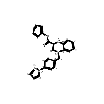 O=C(Nc1ccccc1)C1CN(Cc2ccc(-n3cccn3)cc2)c2ccccc2O1